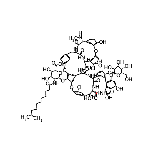 CN[C@H]1C(=O)N[C@@H]2Cc3ccc(cc3)Oc3cc4cc(c3O[C@@H]3O[C@H](C(=O)O)[C@@H](O)[C@H](O)[C@H]3NC(=O)CCCCCCCCC(C)C)Oc3ccc(cc3Cl)[C@@H](O)[C@@H]3NC(=O)[C@H](NC(=O)[C@@H]4NC(=O)[C@@H](NC2=O)c2cc(cc(O)c2Cl)Oc2cc1ccc2O)c1ccc(O)c(c1)-c1c(OC2O[C@H](CO)[C@@H](O)[C@H](O)[C@@H]2O)cc(O)cc1[C@@H](C(=O)O)NC3=O